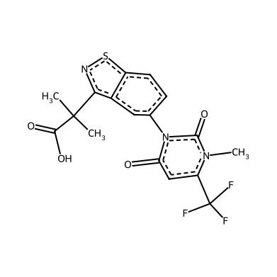 Cn1c(C(F)(F)F)cc(=O)n(-c2ccc3snc(C(C)(C)C(=O)O)c3c2)c1=O